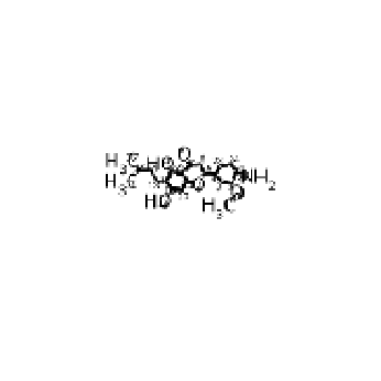 COc1cc(-c2cc(=O)c3c(O)c(CC=C(C)C)c(O)cc3o2)ccc1N